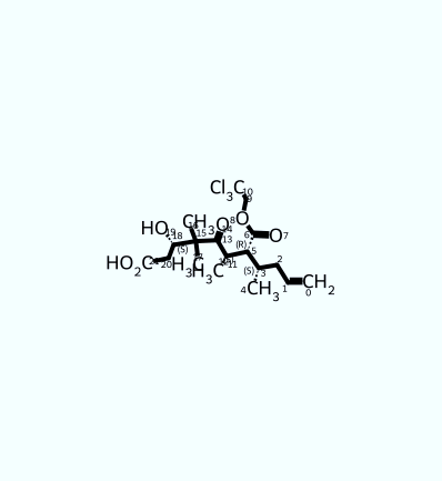 C=CC[C@H](C)[C@@H](C(=O)OCC(Cl)(Cl)Cl)[C@H](C)C(=O)C(C)(C)[C@@H](O)CC(=O)O